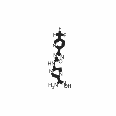 N/C(=N\O)c1cnc(Nc2nc(-c3ccc(C(F)(F)F)cn3)no2)cn1